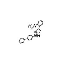 Nc1ccccc1C1=CCC2(Nc3ccc(-c4ccccc4)cc3)C=C12